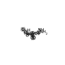 N=C(N)c1cc(CNC(=O)[C@@H]2CC3(CN2C(=O)CNC(=O)c2ccc(-c4ccccc4)cn2)OCCO3)cs1